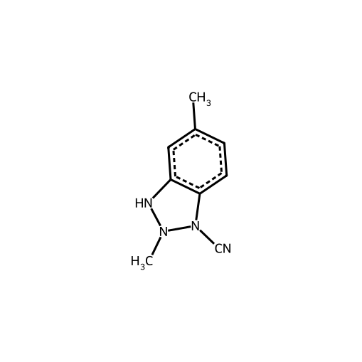 Cc1ccc2c(c1)NN(C)N2C#N